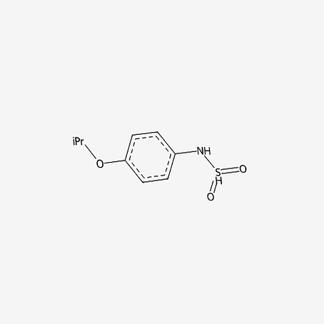 CC(C)Oc1ccc(N[SH](=O)=O)cc1